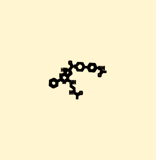 CC(=O)NCCNc1nc(-c2ccccc2)nc2[nH]c(C(=O)N3CCC(c4ccc(NC(C)=O)cc4)CC3)cc12